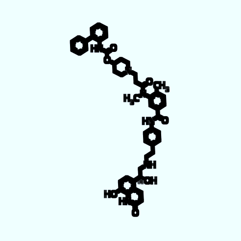 Cc1ccc(C(=O)Nc2ccc(CCNC[C@@H](O)c3ccc(O)c4[nH]c(=O)ccc34)cc2)cc1N(C)C(=O)CCN1CCC(OC(=O)Nc2ccccc2-c2ccccc2)CC1